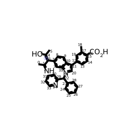 CC(=N)/C(=C(/C)O)c1ccc2c(-c3ccc(C(=O)O)c(C)c3)cn(C(c3ccccc3)c3ccccn3)c2c1